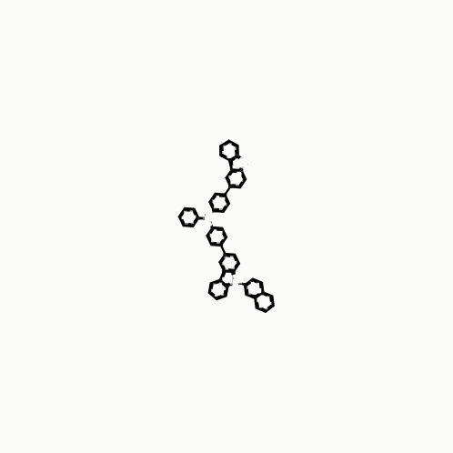 c1ccc(N(c2ccc(-c3ccc4sc5ccccc5c4c3)cc2)c2ccc(-c3ccc4c(c3)c3ccccc3n4-c3ccc4ccccc4c3)cc2)cc1